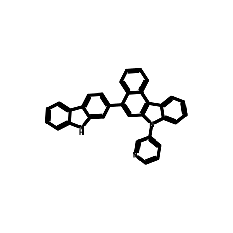 c1cncc(-n2c3ccccc3c3c4ccccc4c(-c4ccc5c(c4)[nH]c4ccccc45)cc32)c1